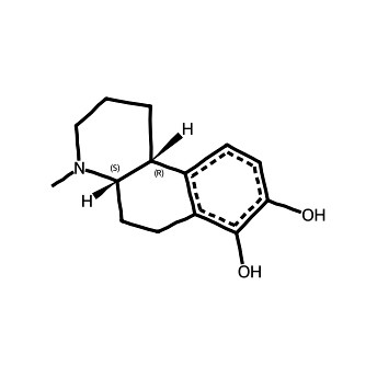 CN1CCC[C@@H]2c3ccc(O)c(O)c3CC[C@@H]21